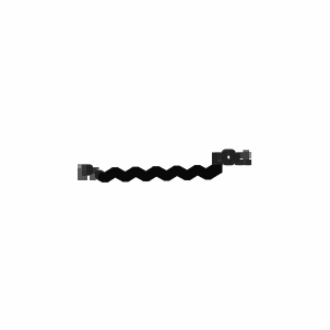 CCCCCCCC/C=C\CCCCCCCCCCC(C)C